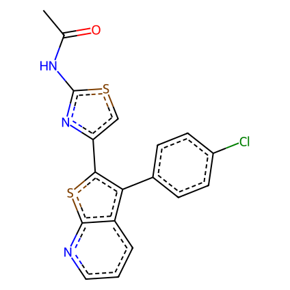 CC(=O)Nc1nc(-c2sc3ncccc3c2-c2ccc(Cl)cc2)cs1